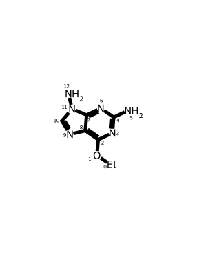 CCOc1nc(N)nc2c1ncn2N